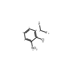 FCF.O=[N+]([O-])c1ccccc1Cl